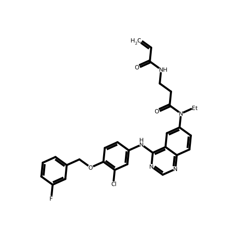 C=CC(=O)NCCC(=O)N(CC)c1ccc2ncnc(Nc3ccc(OCc4cccc(F)c4)c(Cl)c3)c2c1